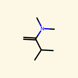 C=C(C(C)C)N(C)C